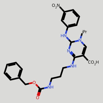 CC(C)N1C=C(C(=O)O)C(NCCCNC(=O)OCc2ccccc2)=NC1Nc1cccc([N+](=O)[O-])c1